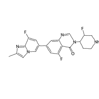 Cc1cn2cc(-c3cc(F)c4c(=O)n(C5CCNCC5F)cnc4c3)cc(F)c2n1